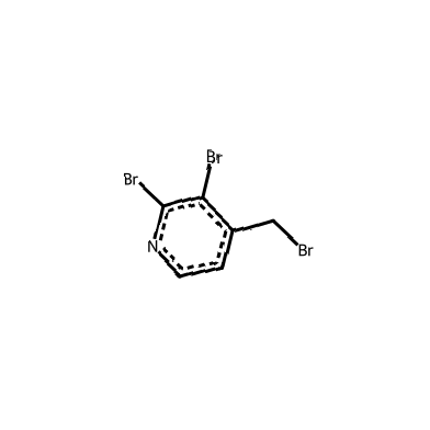 BrCc1ccnc(Br)c1Br